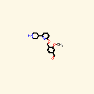 COc1cc(C=O)ccc1COc1cccc(C2CCNCC2)n1